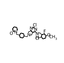 COc1ccc(Cl)c(CNc2nc(Cl)nc3c2CN(Cc2ccc(Cn4ccccc4=O)cc2)C3)c1F